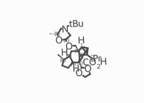 CC(C)C1=C[C@H]2C[C@]3(C4OCCO4)[C@@H]4CC[C@@H](C)[C@H]4C[C@@]2(CO[C@H]2CN(C(C)(C)C)C[C@@H](C)O2)[C@]13C(=O)O